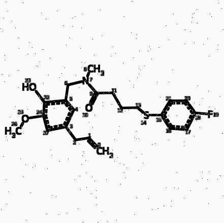 C=CCc1cc(CN(C)C(=O)CCCSc2ccc(F)cc2)c(O)c(OC)c1